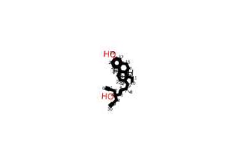 C#CCC(O)(C=C[C@@H](C)[C@H]1CC[C@H]2[C@@H]3CCc4cc(O)ccc4[C@H]3CC[C@]12C)CC#C